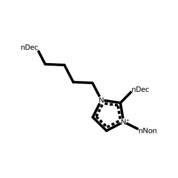 CCCCCCCCCCCCCCn1cc[n+](CCCCCCCCC)c1CCCCCCCCCC